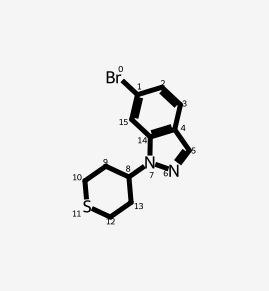 Brc1ccc2cnn(C3CCSCC3)c2c1